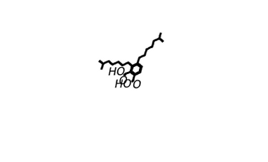 CC(C)CCCCCc1ccc(C(=O)O)c(C(=O)O)c1CCCCCC(C)C